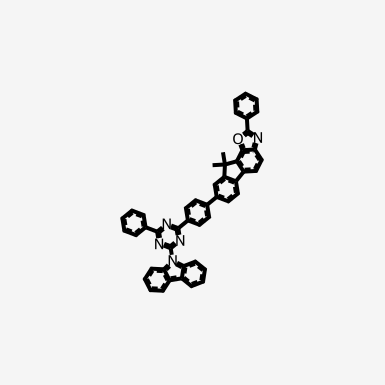 CC1(C)c2cc(-c3ccc(-c4nc(-c5ccccc5)nc(-n5c6ccccc6c6ccccc65)n4)cc3)ccc2-c2ccc3nc(-c4ccccc4)oc3c21